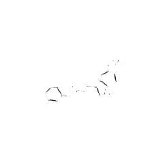 COc1ccc2[nH]cc(CCNCc3ccccc3)c2c1